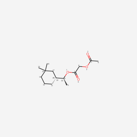 CC(=O)OCC(=O)O[C@@H](C)[C@@H]1CCCC(C)(C)C1